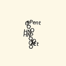 CCCCCOc1ccc(C(=O)NC(=S)Nc2ccc(S(=O)(=O)N(CC)c3ccccc3)cc2)cc1